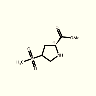 COC(=O)[C@@H]1CC(S(C)(=O)=O)CN1